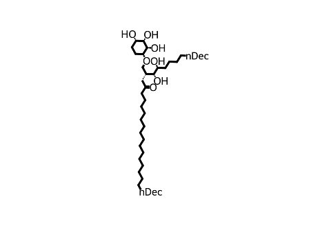 CCCCCCCCCCCCCCCCCCCCCCCCCC(=O)C[C@H](CO[C@H]1CC[C@H](O)[C@H](O)[C@H]1O)[C@@H](O)[C@@H](O)CCCCCCCCCCCCCC